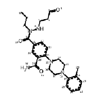 CCCN(NCCC=O)C(=O)c1ccc(N2CCN(c3ccccc3C)CC2)c(C(N)=O)c1